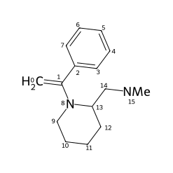 C=C(c1ccccc1)N1CCCCC1CNC